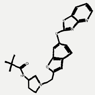 CC(C)(C)C(=O)NC1CCN(Cc2cc3ccc(Oc4nc5ncccc5s4)cc3o2)C1